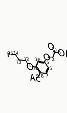 COC(=O)COc1ccc(C(C)=O)c(OCCCBr)c1